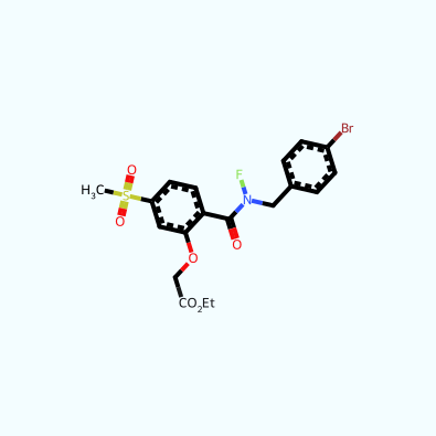 CCOC(=O)COc1cc(S(C)(=O)=O)ccc1C(=O)N(F)Cc1ccc(Br)cc1